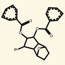 CC(C)C1C(OC(=O)c2ccccc2)C(OC(=O)c2ccccc2)C2C3CCC(O3)C12